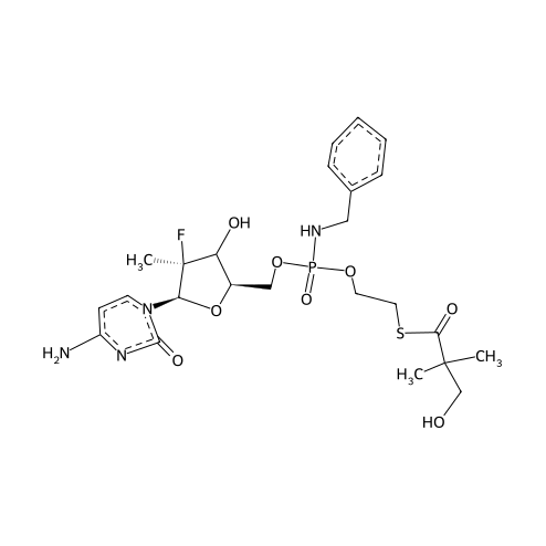 CC(C)(CO)C(=O)SCCOP(=O)(NCc1ccccc1)OC[C@H]1O[C@@H](n2ccc(N)nc2=O)[C@@](C)(F)C1O